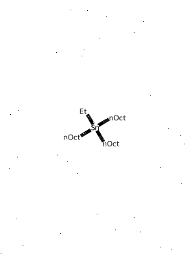 CCCCCCC[CH2][Sn]([CH2]C)([CH2]CCCCCCC)[CH2]CCCCCCC